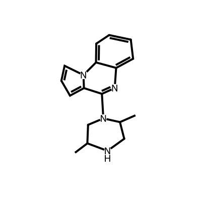 CC1CN(c2nc3ccccc3n3cccc23)C(C)CN1